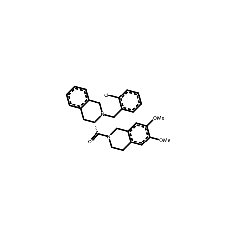 COc1cc2c(cc1OC)CN(C(=O)[C@@H]1Cc3ccccc3CN1Cc1ccccc1Cl)CC2